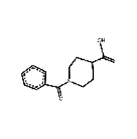 C=C(O)C1CCN(C(=O)c2ccccc2)CC1